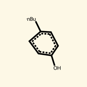 CCC[CH]c1ccc(O)cc1